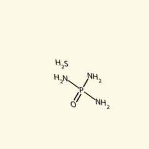 NP(N)(N)=O.S